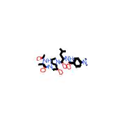 CC(=O)NC(C)C(=O)N1CC(=O)C2C1CCN2C(=O)C(CC(C)C)NC(=O)c1ccc(N(C)C)cc1